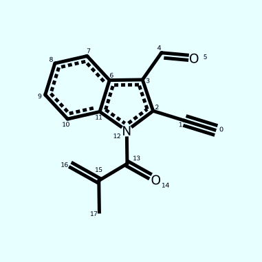 C#Cc1c(C=O)c2ccccc2n1C(=O)C(=C)C